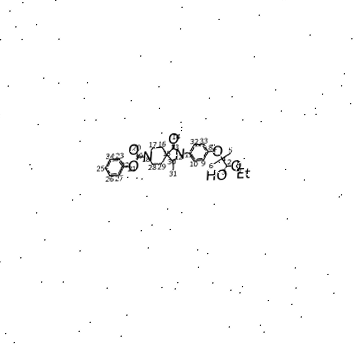 CCOC(O)C(C)(C)Oc1ccc(N2C(=O)C3(CCN(C(=O)Oc4ccccc4)CC3)C2C)cc1